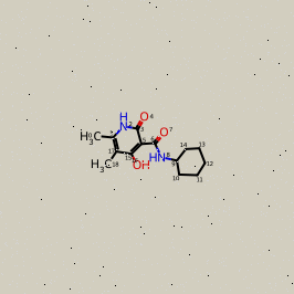 Cc1[nH]c(=O)c(C(=O)NC2CCCCC2)c(O)c1C